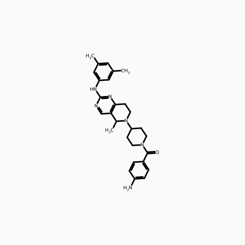 Cc1cc(C)cc(Nc2ncc3c(n2)CCN(C2CCN(C(=O)c4ccc(N)cc4)CC2)C3C)c1